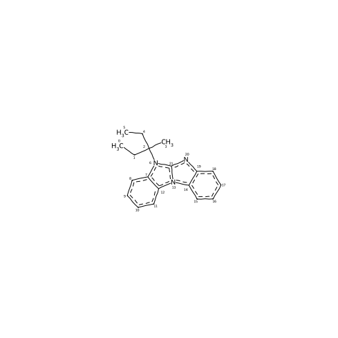 CCC(C)(CC)n1c2ccccc2n2c3ccccc3nc12